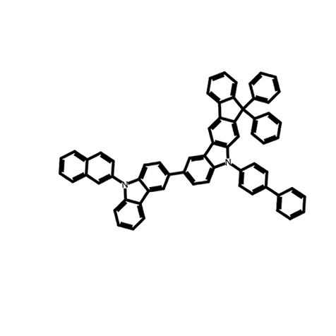 c1ccc(-c2ccc(-n3c4ccc(-c5ccc6c(c5)c5ccccc5n6-c5ccc6ccccc6c5)cc4c4cc5c(cc43)C(c3ccccc3)(c3ccccc3)c3ccccc3-5)cc2)cc1